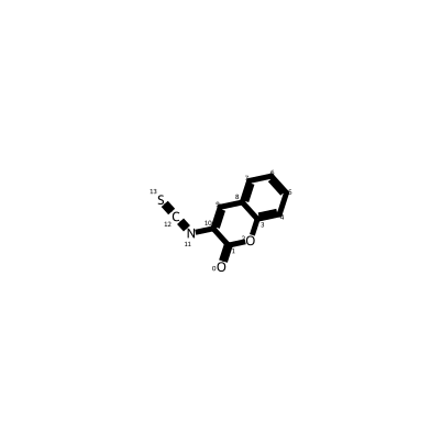 O=c1oc2ccccc2cc1N=C=S